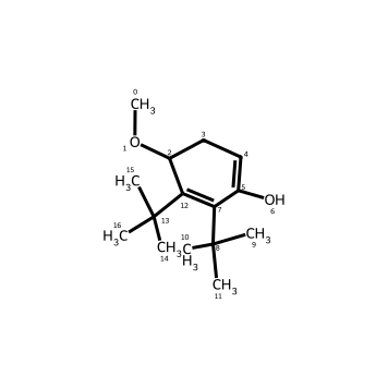 COC1CC=C(O)C(C(C)(C)C)=C1C(C)(C)C